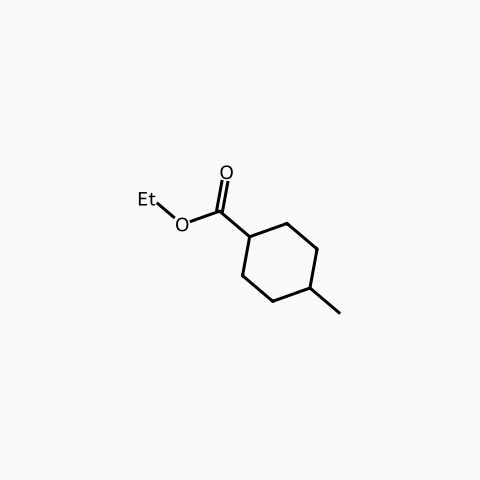 CCOC(=O)C1CCC(C)CC1